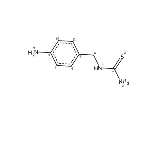 NC(=S)NCc1ccc(N)cc1